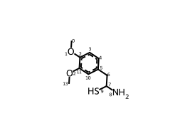 COc1ccc(CC(N)S)cc1OC